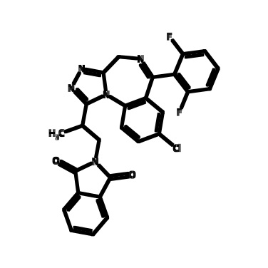 CC(CN1C(=O)c2ccccc2C1=O)c1nnc2n1-c1ccc(Cl)cc1C(c1c(F)cccc1F)=NC2